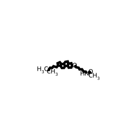 CC(=O)NCCCCCCOC1CCC2C(=CCC3C2CCC2C(CCCCC(C)C)CCC23)C1